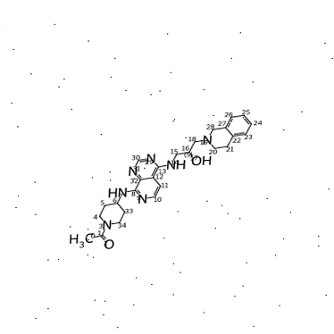 CC(=O)N1CCC(Nc2nccc3c(NC[C@H](O)CN4CCc5ccccc5C4)ncnc23)CC1